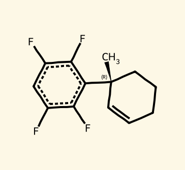 C[C@]1(c2c(F)c(F)cc(F)c2F)C=CCCC1